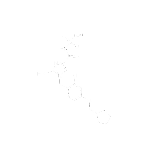 CCCCS(=O)(=O)NC(=O)c1cn(Cc2ccc(OCC3CCCC3)cc2Cl)c(C)n1